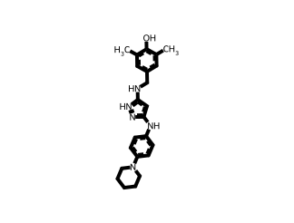 Cc1cc(CNc2cc(Nc3ccc(N4CCCCC4)cc3)n[nH]2)cc(C)c1O